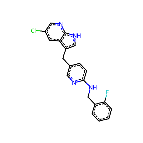 Fc1ccccc1CNc1ccc(Cc2c[nH]c3ncc(Cl)cc23)cn1